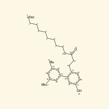 CCCCCCCCCCCCCCCCCCOC(=O)CCc1ccc(O)cc1-c1cc(C(C)(C)C)cc(C(C)(C)C)c1